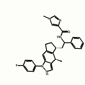 C[C@H]1C2=CNN(c3ccc(F)cc3)C2=CC2=C1[C@@H](CC(NC(=O)c1cn(C)cn1)c1ccccc1)CC2